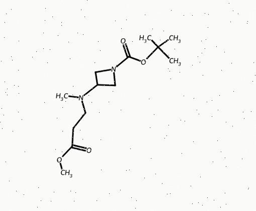 COC(=O)CCN(C)C1CN(C(=O)OC(C)(C)C)C1